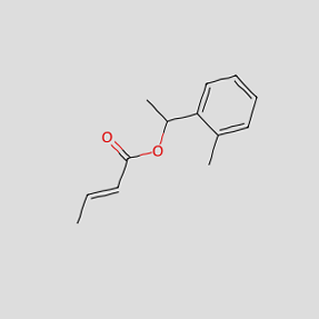 C/C=C/C(=O)OC(C)c1ccccc1C